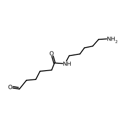 NCCCCCNC(=O)CCCCC=O